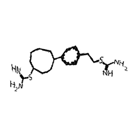 N=C(N)SCCc1ccc(C2CCCCC(SC(=N)N)CC2)cc1